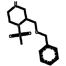 CS(=O)(=O)N1CCNCC1COCc1ccccc1